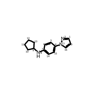 c1cnn(-c2ccc(NC3CCCC3)cc2)c1